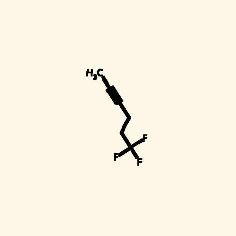 CC#CCCC(F)(F)F